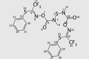 CN(SN(C)C(=O)ON=C(Sc1ccccc1)C(F)(F)F)C(=O)ON=C(Sc1ccccc1)C(F)(F)F